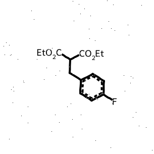 CCOC(=O)C(Cc1ccc(F)cc1)C(=O)OCC